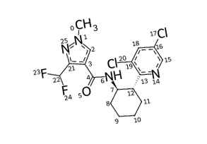 Cn1cc(C(=O)N[C@@H]2CCCC[C@H]2c2ncc(Cl)cc2Cl)c(C(F)F)n1